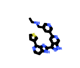 CCNCc1cncc(-c2cc3c(-c4nc5c(-c6ccsc6)nccc5[nH]4)n[nH]c3cn2)c1